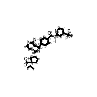 CC(C)[C@@]1(C(=O)O)CC[C@@H](c2nc(-c3ccc(C(=O)Nc4cc(C(F)(F)F)ccn4)cc3)c3c(N)nccn23)C1